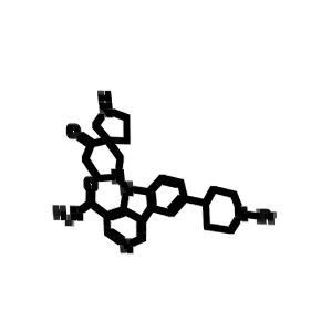 CC(C)N1CCC(c2ccc3c(c2)c2cncc(C(N)=O)c2n3N2CCC(=O)C3(CCNC3)C2)CC1